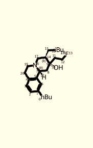 CCCCc1ccc2c(c1)[C@H]1C[C@](O)(CC[18F])[C@H](CC(C)CC)CN1CC2